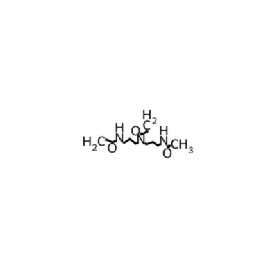 C=CC(=O)NCCCN(CCCNC(C)=O)C(=O)C=C